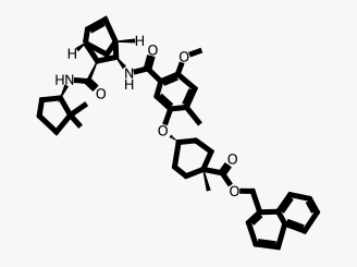 COc1cc(C)c(O[C@H]2CC[C@@](C)(C(=O)OCc3cccc4ccccc34)CC2)cc1C(=O)N[C@H]1[C@@H](C(=O)N[C@@H]2CCCC2(C)C)[C@@H]2C=C[C@H]1C2